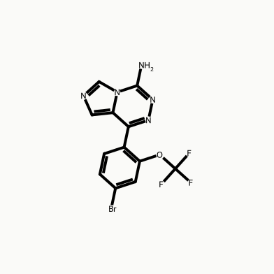 Nc1nnc(-c2ccc(Br)cc2OC(F)(F)F)c2cncn12